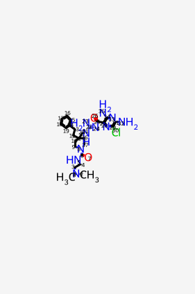 CN(C)CCNC(=O)N1CCC(CCc2ccccc2)(CN/C(N)=N/C(=O)c2nc(Cl)c(N)nc2N)CC1